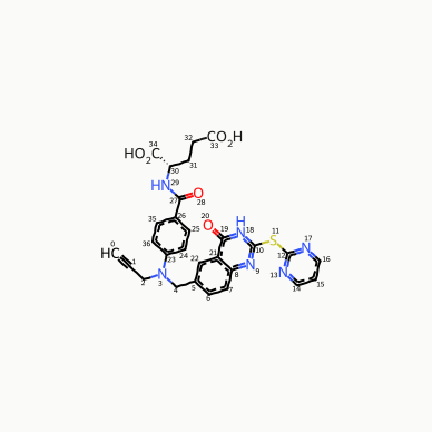 C#CCN(Cc1ccc2nc(Sc3ncccn3)[nH]c(=O)c2c1)c1ccc(C(=O)N[C@@H](CCC(=O)O)C(=O)O)cc1